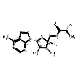 CC(C)[C@H](N)C(=O)OC[C@@]1(F)O[C@@H](n2ccc3c(N)ncnc32)[C@H](O)[C@@H]1O